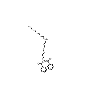 CCCCCCC[CH2][Sn+2][CH2]CCCCCCC.O=C([O-])c1ccccc1.O=C([O-])c1ccccc1